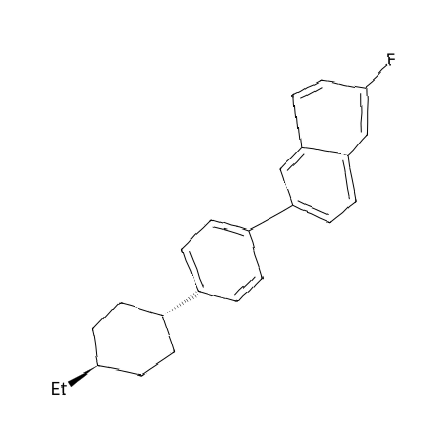 CC[C@H]1CC[C@H](c2ccc(-c3ccc4cc(F)ccc4c3)cc2)CC1